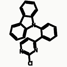 Clc1nccc(-c2ccccc2-n2c3ccccc3c3ccccc32)n1